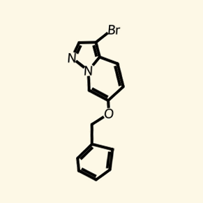 Brc1cnn2cc(OCc3ccccc3)ccc12